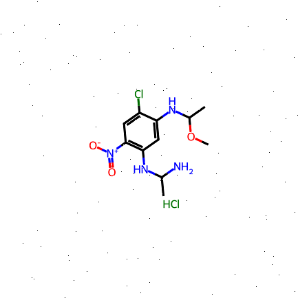 COC(C)Nc1cc(NC(C)N)c([N+](=O)[O-])cc1Cl.Cl